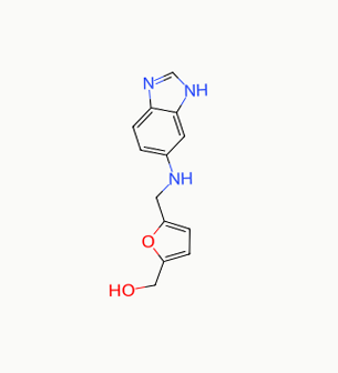 OCc1ccc(CNc2ccc3nc[nH]c3c2)o1